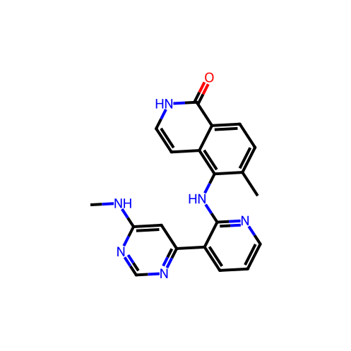 CNc1cc(-c2cccnc2Nc2c(C)ccc3c(=O)[nH]ccc23)ncn1